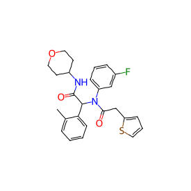 Cc1ccccc1C(C(=O)NC1CCOCC1)N(C(=O)Cc1cccs1)c1cccc(F)c1